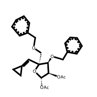 CC(=O)O[C@@H]1O[C@](C=C2CC2)(COCc2ccccc2)[C@@H](OCc2ccccc2)[C@H]1OC(C)=O